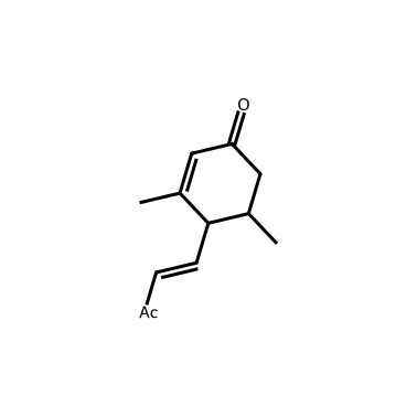 CC(=O)/C=C/C1C(C)=CC(=O)CC1C